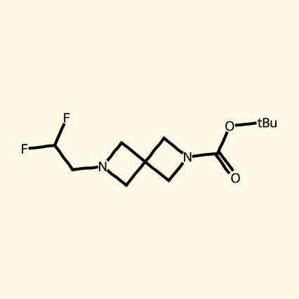 CC(C)(C)OC(=O)N1CC2(CN(CC(F)F)C2)C1